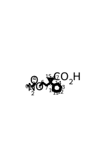 CN(C)C(=O)OCCC1(c2ccccc2)CC1C(=O)O